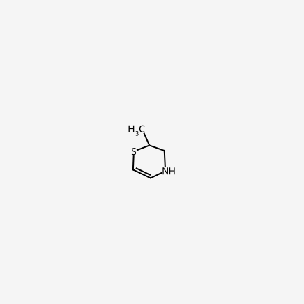 CC1CNC=CS1